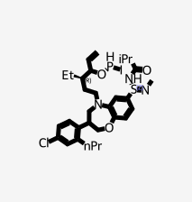 C=CC(OPI)[C@H](CC)CCN1CC(c2ccc(Cl)cc2CCC)COc2ccc(/S(=N/C)NC(=O)C(C)C)cc21